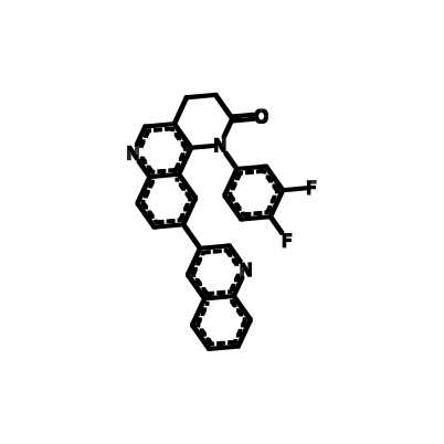 O=C1CCc2cnc3ccc(-c4cnc5ccccc5c4)cc3c2N1c1ccc(F)c(F)c1